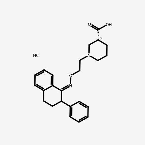 Cl.O=C(O)[C@@H]1CCCN(CCON=C2c3ccccc3CCC2c2ccccc2)C1